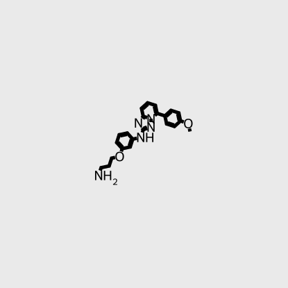 COc1ccc(-c2cccc3nc(Nc4cccc(OCCCN)c4)nn23)cc1